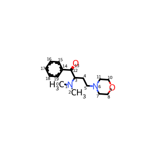 CN(C)C(CCN1CCOCC1)C(=O)c1ccccc1